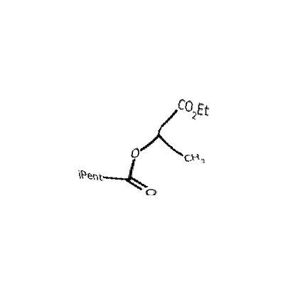 CCCC(C)C(=O)OC(C)C(=O)OCC